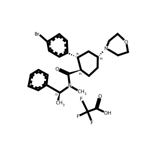 C[C@@H](c1ccccc1)N(C)C(=O)[C@@H]1CC[C@@H](N2CCOCC2)C[C@H]1c1ccc(Br)cc1.O=C(O)C(F)(F)F